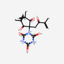 C=C(C)C(=O)CC(C(=O)C(=C)C)(C(=O)C(=C)C)n1c(=O)[nH]c(=O)[nH]c1=O